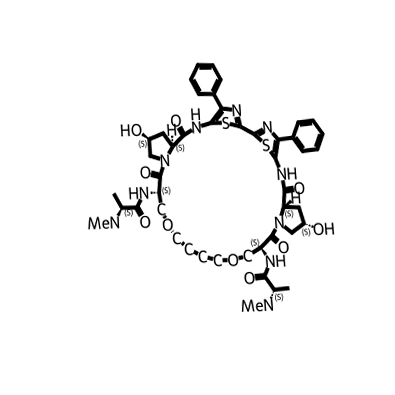 CN[C@@H](C)C(=O)N[C@H]1COCCCCOC[C@H](NC(=O)[C@H](C)NC)C(=O)N2C[C@@H](O)C[C@H]2C(=O)Nc2sc(nc2-c2ccccc2)-c2nc(-c3ccccc3)c(s2)NC(=O)[C@@H]2C[C@H](O)CN2C1=O